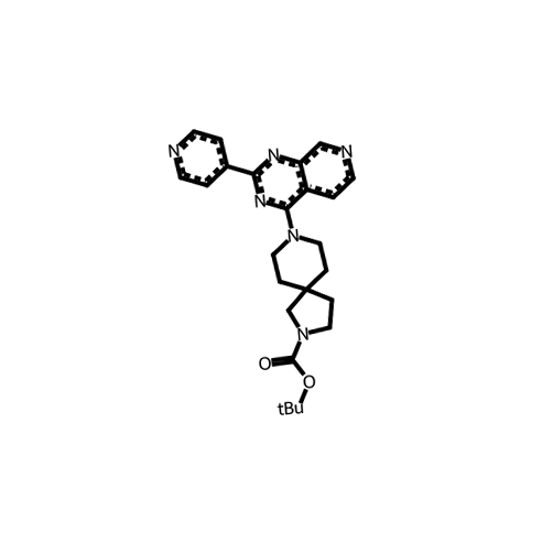 CC(C)(C)OC(=O)N1CCC2(CCN(c3nc(-c4ccncc4)nc4cnccc34)CC2)C1